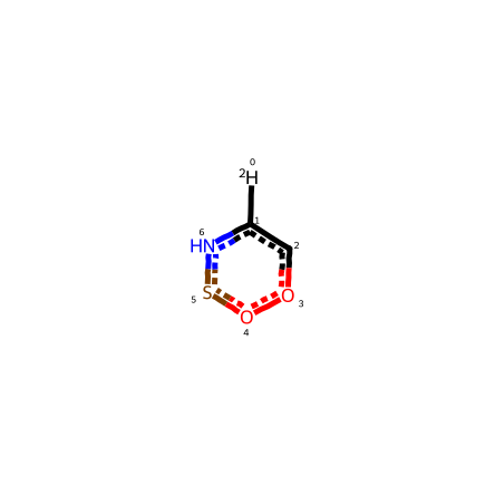 [2H]c1coos[nH]1